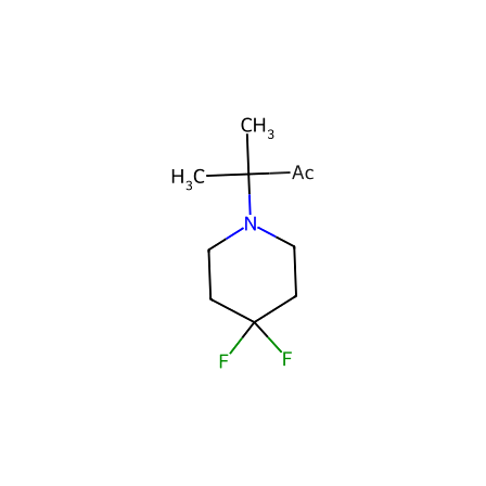 CC(=O)C(C)(C)N1CCC(F)(F)CC1